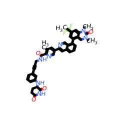 Cc1cc(-c2cc3cccc(-c4cc(C(C)(F)F)cc5c4CN(C)C(=O)N5C)c3cn2)cnc1C(=O)NCC#Cc1cccc(NC2CCC(=O)NC2=O)c1